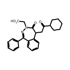 O=C(O)CN1N=C(c2ccccc2)c2ccccc2C(CC(=O)C2CCCCC2)C1=O